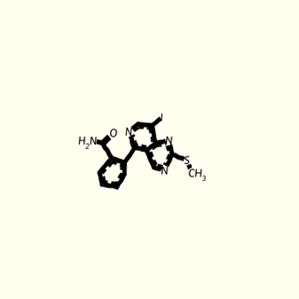 CSc1ncc2c(-c3ccccc3C(N)=O)ncc(I)c2n1